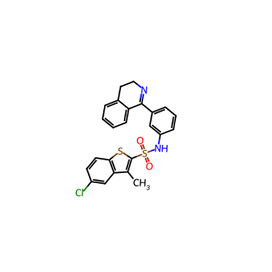 Cc1c(S(=O)(=O)Nc2cccc(C3=NCCc4ccccc43)c2)sc2ccc(Cl)cc12